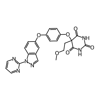 COCCC1(Oc2ccc(Oc3ccc4c(cnn4-c4ncccn4)c3)cc2)C(=O)NC(=O)NC1=O